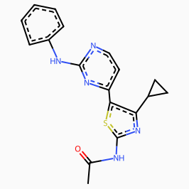 CC(=O)Nc1nc(C2CC2)c(-c2ccnc(Nc3ccccc3)n2)s1